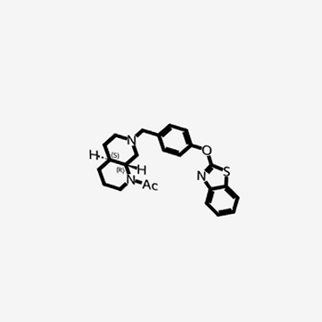 CC(=O)N1CCC[C@H]2CCN(Cc3ccc(Oc4nc5ccccc5s4)cc3)C[C@@H]21